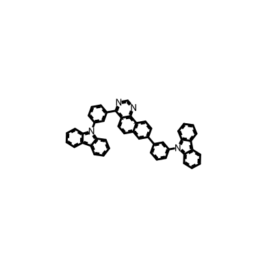 c1cc(-c2ccc3c(ccc4c(-c5cccc(-n6c7ccccc7c7ccccc76)c5)ncnc43)c2)cc(-n2c3ccccc3c3ccccc32)c1